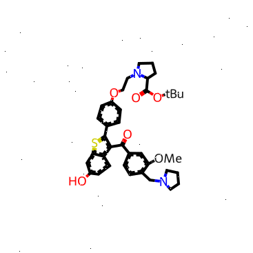 COc1cc(C(=O)c2c(-c3ccc(OCCN4CCCC4C(=O)OC(C)(C)C)cc3)sc3cc(O)ccc23)ccc1CN1CCCC1